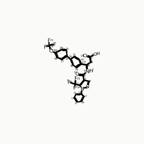 O=C(O)CC(NC(=O)c1cnn(-c2ccccc2)c1C(F)(F)F)c1ccc(-c2ccc(OC(F)(F)F)cc2)cc1